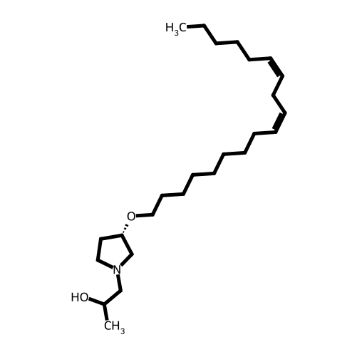 CCCCC/C=C\C/C=C\CCCCCCCCO[C@H]1CCN(CC(C)O)C1